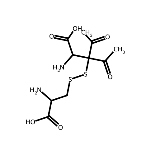 CC(=O)C(SSCC(N)C(=O)O)(C(C)=O)C(N)C(=O)O